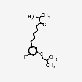 CC(C)COc1cc(F)cc(CCCCCC(=O)C(C)C)c1